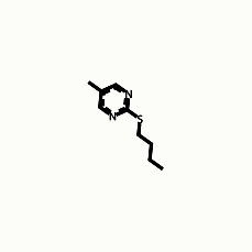 CCCCSc1ncc(C)cn1